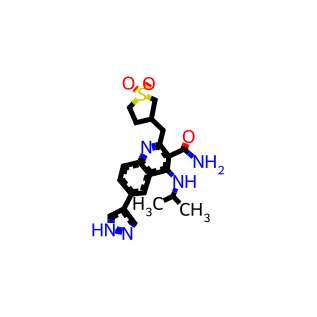 CC(C)Nc1c(C(N)=O)c(CC2CCS(=O)(=O)C2)nc2ccc(-c3cn[nH]c3)cc12